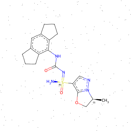 C[C@H]1COc2c([S@](N)(=O)=NC(=O)Nc3c4c(cc5c3CCC5)CCC4)cnn21